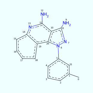 Cc1cccc(-n2nc(N)c3c(N)nc4ccccc4c32)c1